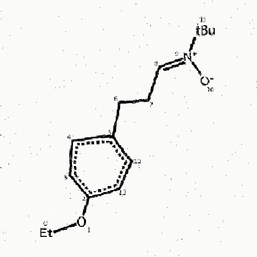 CCOc1ccc(CCC=[N+]([O-])C(C)(C)C)cc1